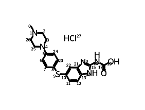 CN1CCN(c2ccc(Sc3ccc4[nH]c(NC(=O)O)nc4c3)cc2)CC1.Cl